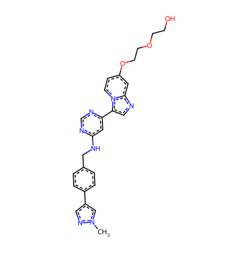 Cn1cc(-c2ccc(CNc3cc(-c4cnc5cc(OCCOCCO)ccn45)ncn3)cc2)cn1